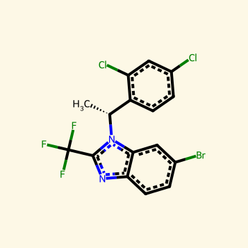 C[C@H](c1ccc(Cl)cc1Cl)n1c(C(F)(F)F)nc2ccc(Br)cc21